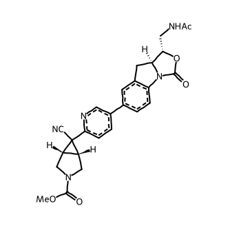 COC(=O)N1C[C@@H]2[C@H](C1)C2(C#N)c1ccc(-c2ccc3c(c2)C[C@H]2[C@H](CNC(C)=O)OC(=O)N32)cn1